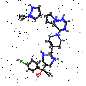 Cn1cc(-c2cc3c(N4CC=C(c5ncc([C@](C)(O)c6ccc(F)cc6)cn5)CC4)ncnn3c2)cn1